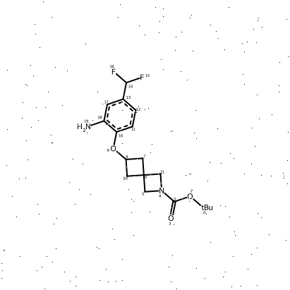 CC(C)(C)OC(=O)N1CC2(CC(Oc3ccc(C(F)F)cc3N)C2)C1